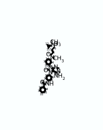 CN(C(=O)/C=C/C[N+](C)([O-])C1CC1)c1cccc(-n2c(=O)n(-c3ccc(NC(=O)c4ccccc4)cc3)c3c(N)ncnc32)c1